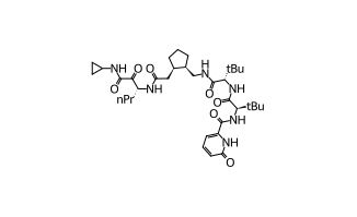 CCC[C@@H](NC(=O)C[C@H]1CCC[C@H]1CNC(=O)[C@@H](NC(=O)[C@H](NC(=O)c1cccc(=O)[nH]1)C(C)(C)C)C(C)(C)C)C(=O)C(=O)NC1CC1